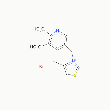 Cc1sc[n+](Cc2cnc(C(=O)O)c(C(=O)O)c2)c1C.[Br-]